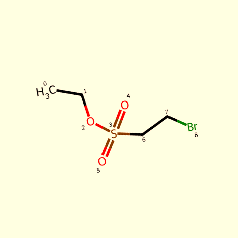 CCOS(=O)(=O)CCBr